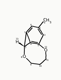 Cc1cc2c3c(c1)[C@H]3OCCCO2